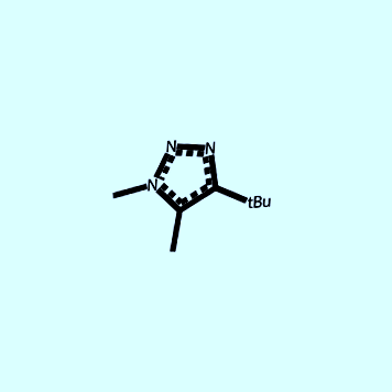 Cc1c(C(C)(C)C)nnn1C